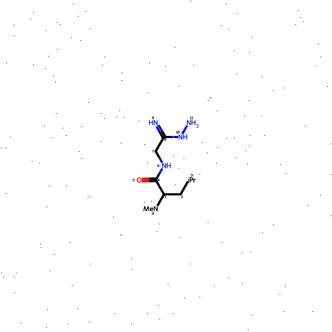 CNC(CC(C)C)C(=O)NCC(=N)NN